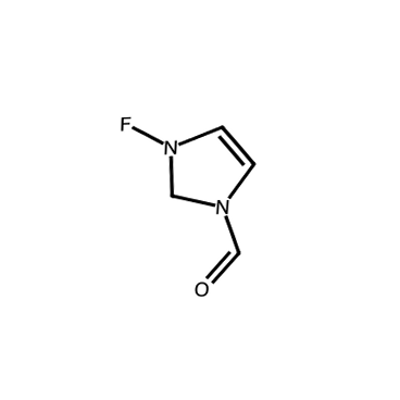 O=CN1C=CN(F)C1